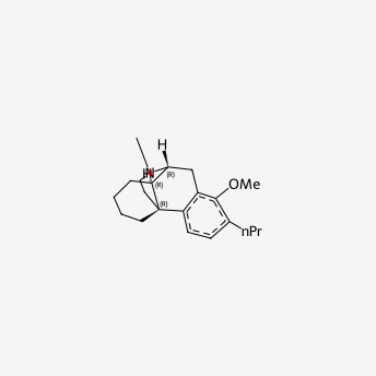 CCCc1ccc2c(c1OC)C[C@@H]1[C@@H]3CCCC[C@]23CCN1C